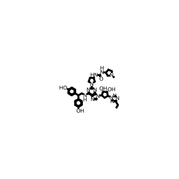 CCc1nnn(C2CC(n3cnc4c(NCC(c5ccc(O)cc5)c5ccc(O)cc5)nc(N5CCC(NC(=O)NC6CCN(C)C6)C5)nc43)[C@H](O)[C@@H]2O)n1